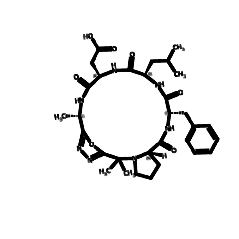 CC(C)C[C@H]1NC(=O)[C@H](Cc2ccccc2)NC(=O)[C@@H]2CCCN2C(C)(C)c2nnc(o2)[C@H](C)NC(=O)[C@@H](CC(=O)O)NC1=O